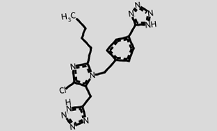 CCCCc1nc(Cl)c(Cc2nnn[nH]2)n1Cc1ccc(-c2nnn[nH]2)cc1